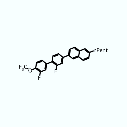 CCCCCc1ccc2cc(-c3ccc(-c4ccc(OC(F)(F)F)c(F)c4)c(F)c3)ccc2c1